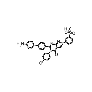 CS(=O)(=O)c1cccc(-n2cc3c(=O)n(-c4ccc(Cl)cc4)c(-c4ccc(-c5ccc(N)nc5)cc4)nc3n2)c1